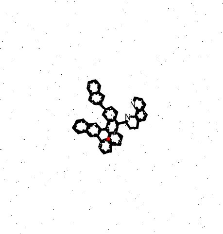 c1ccc(-c2cc3ccccc3cc2-c2c3ccccc3c(C3=Nc4c(ccc5cccnc45)CC3)c3ccc(-c4ccc5ccccc5c4)cc23)cc1